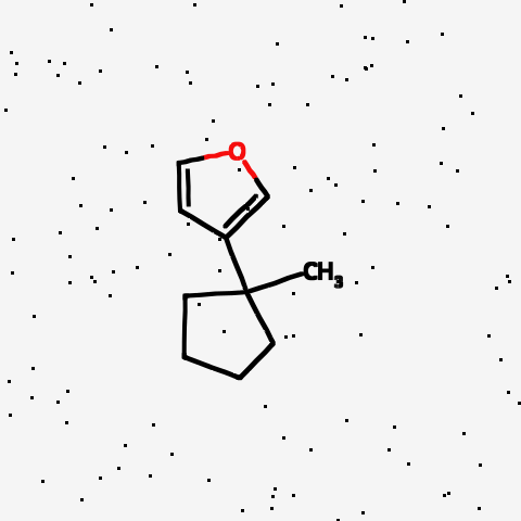 CC1(c2ccoc2)CCCC1